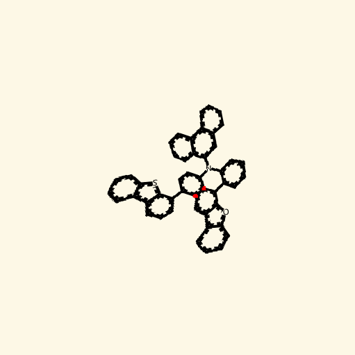 c1ccc(N(c2ccc(-c3cccc4c3sc3ccccc34)cc2)c2cc3ccccc3c3ccccc23)c(-c2cccc3c2oc2ccccc23)c1